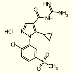 CS(=O)(=O)c1ccc(Cl)c(-n2ncc(C(=O)NC(=N)N)c2C2CC2)c1.Cl